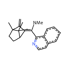 C=C1/C(=C(\NC)c2nccc3ccccc23)C2CCC1(C)C2(C)C